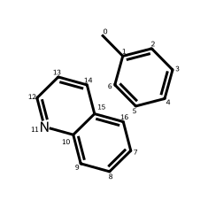 Cc1ccccc1.c1ccc2ncccc2c1